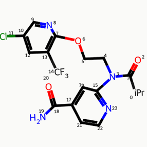 CC(C)C(=O)N(CCOc1ncc(Cl)cc1C(F)(F)F)c1cc(C(N)=O)ccn1